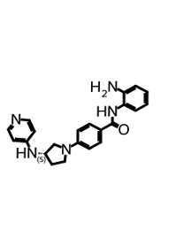 Nc1ccccc1NC(=O)c1ccc(N2CC[C@H](Nc3ccncc3)C2)cc1